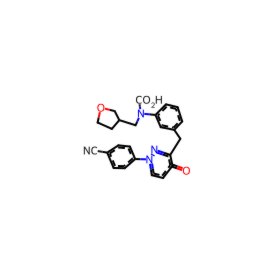 N#Cc1ccc(-n2ccc(=O)c(Cc3cccc(N(CC4CCOC4)C(=O)O)c3)n2)cc1